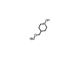 CCCN1CCC(COC(C)(C)C)CC1